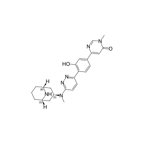 CN(c1ccc(-c2ccc(-c3cc(=O)n(C)cn3)cc2O)nn1)[C@@H]1C[C@H]2CCC[C@@H](C1)N2